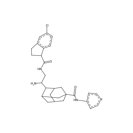 NC(CNC(=O)C1CCc2cc(Cl)ccc21)C1C2CC3CC1CC(C(=O)Nc1ccncc1)(C3)C2